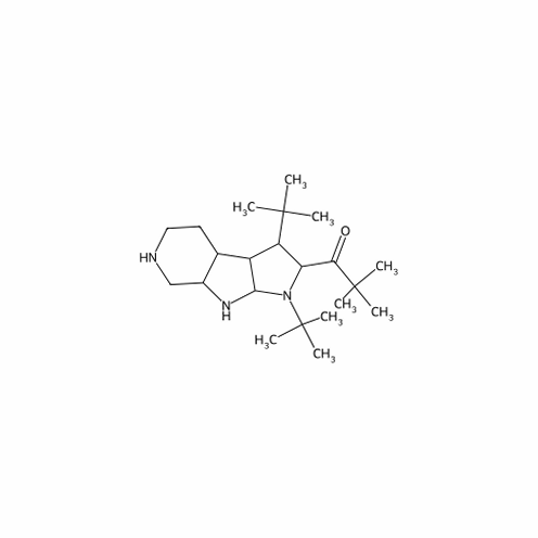 CC(C)(C)C(=O)C1C(C(C)(C)C)C2C3CCNCC3NC2N1C(C)(C)C